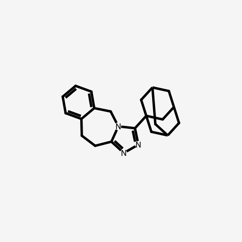 c1ccc2c(c1)CCc1nnc(C34CC5CC(CC(C5)C3)C4)n1C2